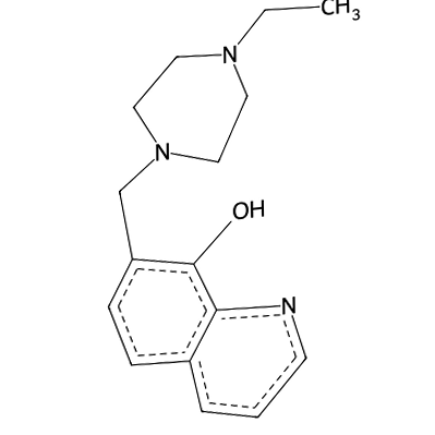 CCN1CCN(Cc2ccc3cccnc3c2O)CC1